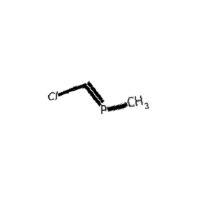 CP=CCl